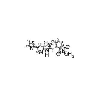 Cc1ccc2c(c1CC(=O)Nc1ccc(-c3nccs3)cn1)C(=O)N(C)C2=O